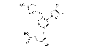 CN1CCC(=Cc2ccc(F)cc2-c2cc(Cl)c(Cl)s2)CC1.O=C(O)/C=C/C(=O)O